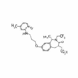 Cc1cc[n+]([O-])c(NCCCOc2ccc3c(c2)C(C)N(CC(F)(F)F)C(=O)C(CC(=O)O)C3)c1